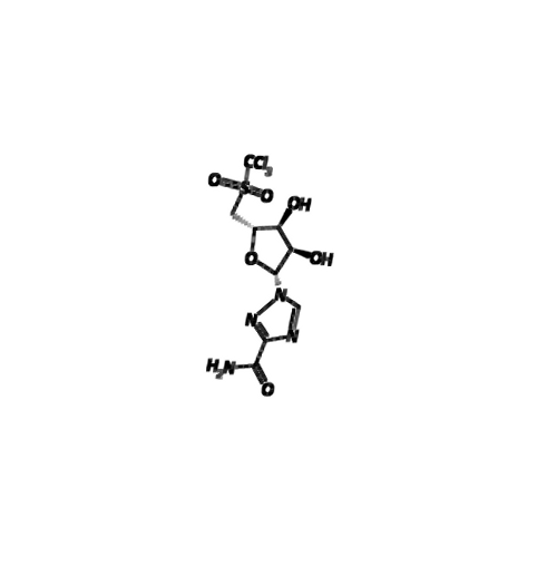 NC(=O)c1ncn([C@@H]2O[C@H](CS(=O)(=O)C(Cl)(Cl)Cl)[C@@H](O)[C@H]2O)n1